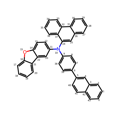 c1ccc2cc(-c3ccc(N(c4ccc5oc6ccccc6c5c4)c4cc5ccccc5c5ccccc45)cc3)ccc2c1